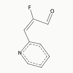 O=C/C(F)=C\c1ccccn1